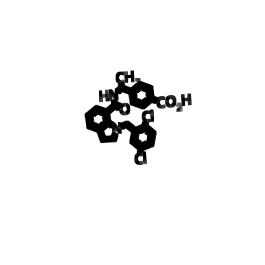 CC(NC(=O)c1cccc2c1N(Cc1cc(Cl)ccc1Cl)CC2)c1ccc(C(=O)O)cc1